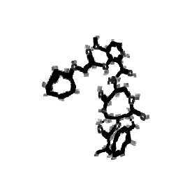 COc1ccnc(C(=O)N[C@H]2COC(=O)[C@H](Cc3ccccc3)[C@@H](OC(=O)C(C)C)[C@H](C)OC2=O)c1OC(=O)COc1ccccc1